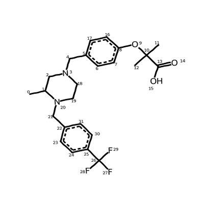 CC1CN(Cc2ccc(OC(C)(C)C(=O)O)cc2)CCN1Cc1ccc(C(F)(F)F)cc1